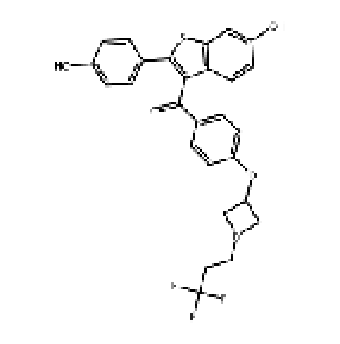 O=C(c1ccc(OC2CN(CCC(F)(F)F)C2)cc1)c1c(-c2ccc(O)cc2)sc2cc(O)ccc12